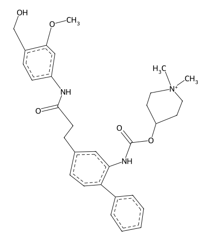 COc1cc(NC(=O)CCc2ccc(-c3ccccc3)c(NC(=O)OC3CC[N+](C)(C)CC3)c2)ccc1CO